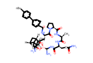 CCCCc1ccc(-c2ccc(C(=O)N[C@@H](CCCCN)C(=O)N3CCC[C@H]3C(=O)N[C@@H](C)C(=O)N[C@@H](CCC(N)=O)C(=O)N[C@@H](N)B3OC4C[C@@H]5C[C@@H](C5(C)C)[C@]4(C)O3)cc2)cc1